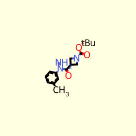 Cc1cccc(N(N)C(=O)C2CN(C(=O)OC(C)(C)C)C2)c1